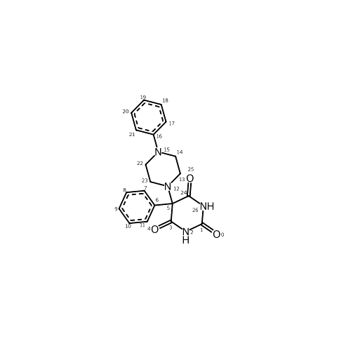 O=C1NC(=O)C(c2ccccc2)(N2CCN(c3ccccc3)CC2)C(=O)N1